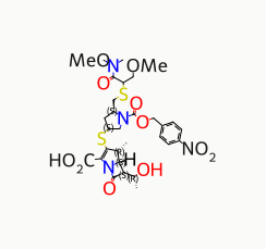 COCC(SC[C@@H]1C[C@H](SC2=C(C(=O)O)N3C(=O)[C@H]([C@@H](C)O)[C@H]3[C@H]2C)CN1C(=O)OCc1ccc([N+](=O)[O-])cc1)C(=O)N(C)OC